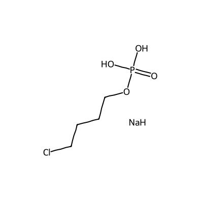 O=P(O)(O)OCCCCCl.[NaH]